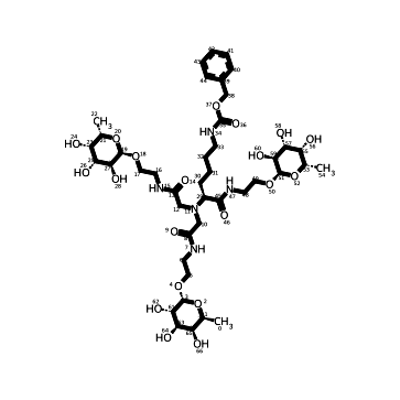 C[C@@H]1O[C@@H](OCCNC(=O)CN(CC(=O)NCCO[C@@H]2O[C@@H](C)[C@@H](O)[C@@H](O)[C@@H]2O)[C@@H](CCCCNC(=O)OCc2ccccc2)C(=O)NCCO[C@@H]2O[C@@H](C)[C@@H](O)[C@@H](O)[C@@H]2O)[C@@H](O)[C@H](O)[C@@H]1O